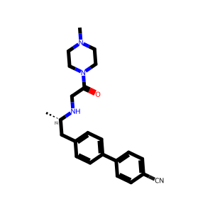 C[C@@H](Cc1ccc(-c2ccc(C#N)cc2)cc1)NCC(=O)N1CCN(C)CC1